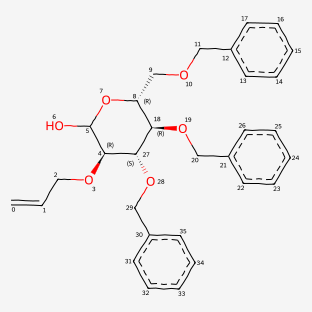 C=CCO[C@H]1C(O)O[C@H](COCc2ccccc2)[C@@H](OCc2ccccc2)[C@@H]1OCc1ccccc1